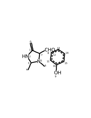 C=C1NC(C)N(C)C1C=O.Oc1ccccc1